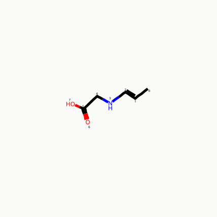 CC=CNCC(=O)O